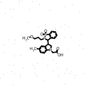 COCCCN1C(C2CN(CC(=O)O)c3ccc(C)cc32)c2ccccc2S1(=O)=O